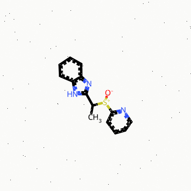 CC(c1nc2ccccc2[nH]1)[S+]([O-])c1ccccn1